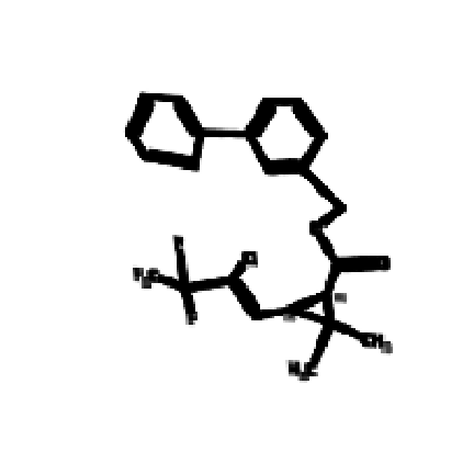 CC1(C)[C@H](C(=O)OCc2cccc(-c3ccccc3)c2)[C@@H]1C=C(Cl)C(F)(F)C(F)(F)F